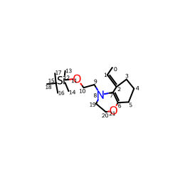 C/C=C1\CCCC2=C1N(CCO[Si](C)(C)C(C)(C)C)CCO2